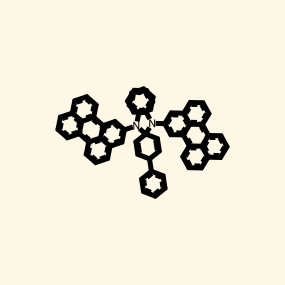 C1=CC(N(c2ccccc2)c2cc3cccc4c5cccc6cccc(c(c2)c34)c65)(N(c2ccccc2)c2cc3cccc4c5cccc6cccc(c(c2)c34)c65)C=CC1c1ccccc1